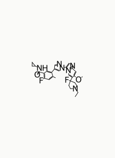 CCN1CCC(F)(c2cn3c(-n4cc(-c5cc(C(=O)NC6CC6)c(F)cc5C)cn4)cnc3cc2OC)CC1